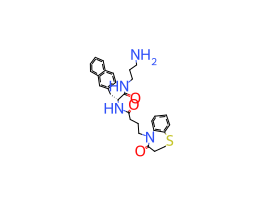 NCCCNC(=O)[C@@H](Cc1ccc2ccccc2c1)NC(=O)CCCN1C(=O)CCSc2ccccc21